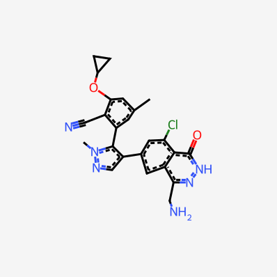 Cc1cc(OC2CC2)c(C#N)c(-c2c(-c3cc(Cl)c4c(=O)[nH]nc(CN)c4c3)cnn2C)c1